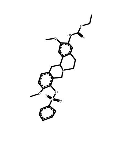 CCOC(=O)Nc1cc2c(cc1OC)C1Cc3ccc(OC)c(OS(=O)(=O)c4ccccc4)c3CN1CC2